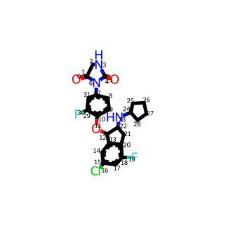 O=C1CNC(=O)N1c1ccc(OC2c3cc(Cl)cc(F)c3CC2NC2CCCC2)c(F)c1